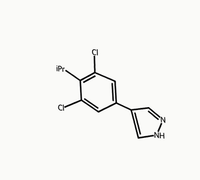 CC(C)c1c(Cl)cc(-c2cn[nH]c2)cc1Cl